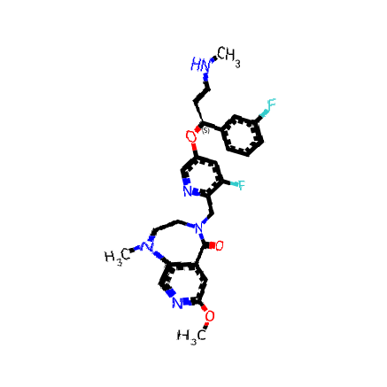 CNCC[C@H](Oc1cnc(CN2CCN(C)c3cnc(OC)cc3C2=O)c(F)c1)c1cccc(F)c1